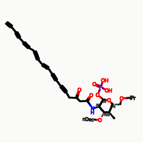 C#CC#CC#CC#CC#CC#CC#CCC(=O)CC(=O)N[C@H]1[C@@H](OP(=O)(O)O)O[C@H](COC(C)C)[C@@H](C)[C@@H]1OCCCCCCCCCC